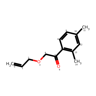 C=CCOCC(=O)c1ccc(C)cc1C